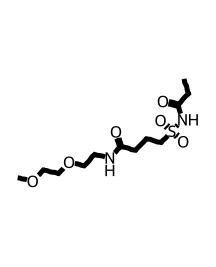 CCC(=O)NS(=O)(=O)CCCC(=O)NCCOCCOC